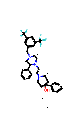 OC1(c2ccccc2)CCN(CCN2CCN(Cc3cc(C(F)(F)F)cc(C(F)(F)F)c3)CC2c2ccccc2)CC1